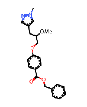 COC(COc1ccc(C(=O)OCc2ccccc2)cc1)Cc1cnn(C)c1